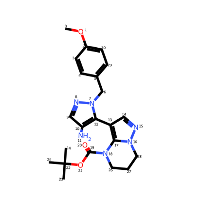 COc1ccc(Cn2ncc(N)c2-c2cnn3c2N(C(=O)OC(C)(C)C)CCC3)cc1